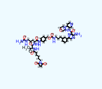 CC(C)[C@H](NC(=O)CCCCCN1C(=O)C=CC1=O)C(=O)N[C@@H](CCCNC(N)=O)C(=O)Nc1ccc(COC(=O)NCCCc2cccc(-c3cnc(N)c(C(=O)Nc4cnccc4N4CCOCC4)n3)c2)cc1